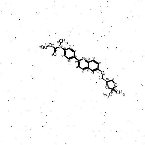 CN(C(=O)OC(C)(C)C)c1ccc(-c2ccc3cc(OC[C@H]4COC(C)(C)O4)ccc3n2)cc1